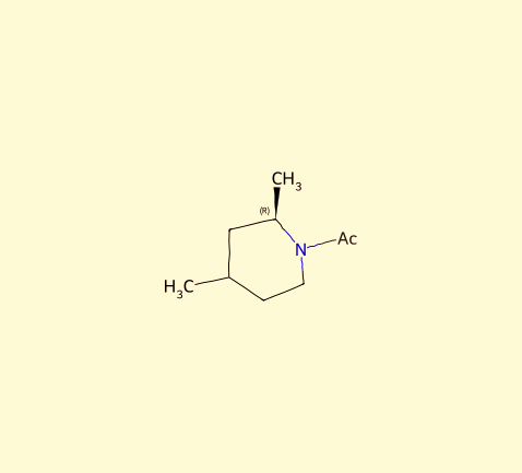 CC(=O)N1CCC(C)C[C@H]1C